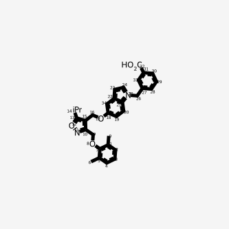 Cc1cccc(C)c1OCc1noc(C(C)C)c1COc1ccc2c(ccn2Cc2cccc(C(=O)O)c2)c1